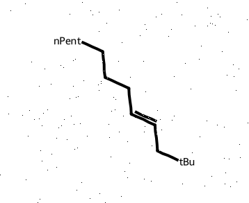 CCCCCCCCC=CCC(C)(C)C